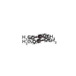 CCCc1ccc(C23CCC(C#Cc4ccc(CC)cc4)(CC2)CC3)cc1.CCc1ccc(C#CC23CCC(c4ccc(CC)cc4)(CC2)CC3)cc1